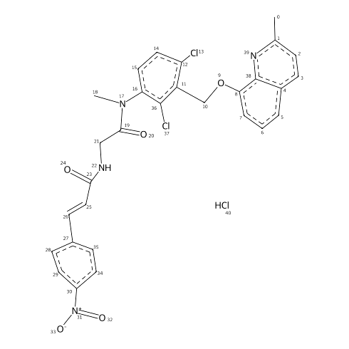 Cc1ccc2cccc(OCc3c(Cl)ccc(N(C)C(=O)CNC(=O)/C=C/c4ccc([N+](=O)[O-])cc4)c3Cl)c2n1.Cl